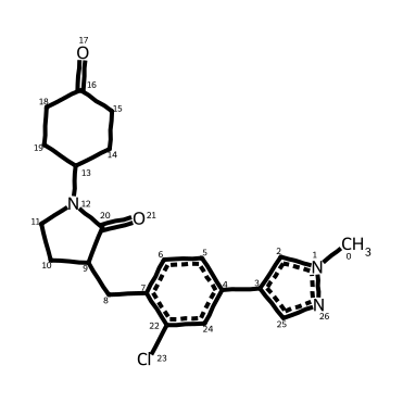 Cn1cc(-c2ccc(CC3CCN(C4CCC(=O)CC4)C3=O)c(Cl)c2)cn1